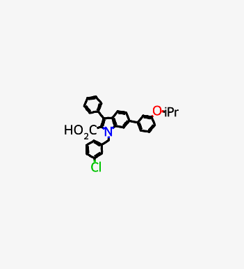 CC(C)Oc1cccc(-c2ccc3c(-c4ccccc4)c(C(=O)O)n(Cc4cccc(Cl)c4)c3c2)c1